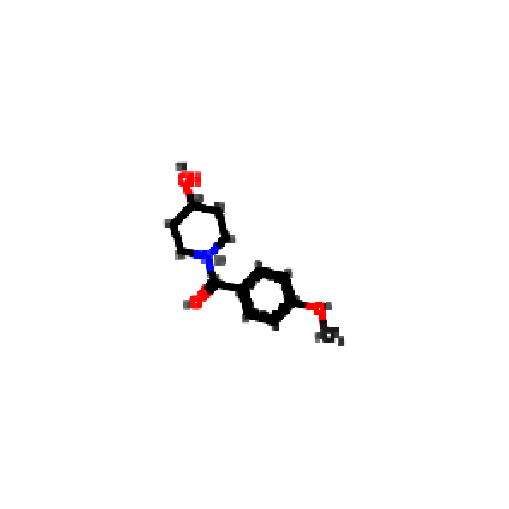 O=C(c1ccc(OC(F)(F)F)cc1)N1CCC(O)CC1